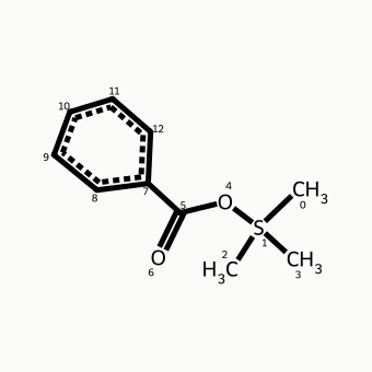 CS(C)(C)OC(=O)c1ccccc1